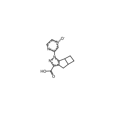 O=C(O)c1nn(-c2c[n+]([O-])ccn2)c2c1CC1CCC21